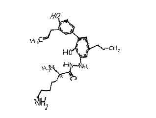 C=CCc1cc(NNC(=O)[C@H](N)CCCCN)c(O)c(-c2ccc(O)c(CC=C)c2)c1